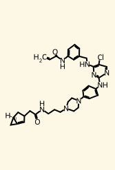 C=CC(=O)Nc1cccc(CNc2nc(Nc3ccc(N4CCN(CCCNC(=O)CC5C=C6C[C@H]6C5)CC4)cc3)ncc2Cl)c1